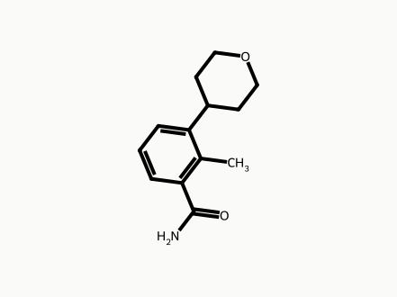 Cc1c(C(N)=O)cccc1C1CCOCC1